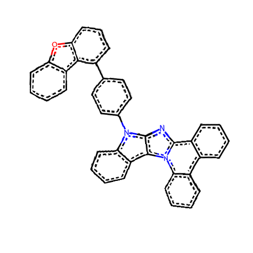 c1ccc2c(c1)oc1cccc(-c3ccc(-n4c5ccccc5c5c4nc4c6ccccc6c6ccccc6n45)cc3)c12